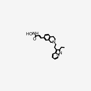 CCc1nn2ccccc2c1CCN1CCc2ccc(/C=C/C(=O)NO)cc2C1